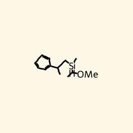 COC(C)[SiH](C)CC(C)c1ccccc1